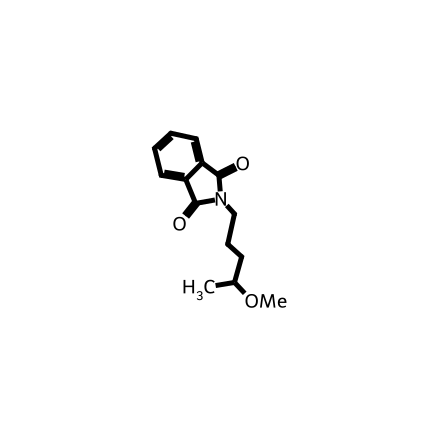 COC(C)CCCN1C(=O)c2ccccc2C1=O